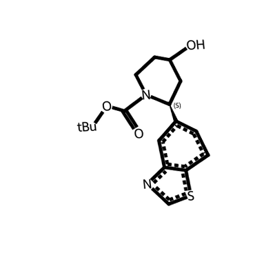 CC(C)(C)OC(=O)N1CCC(O)C[C@H]1c1ccc2scnc2c1